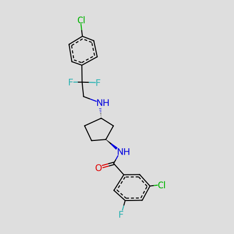 O=C(N[C@H]1CC[C@H](NCC(F)(F)c2ccc(Cl)cc2)C1)c1cc(F)cc(Cl)c1